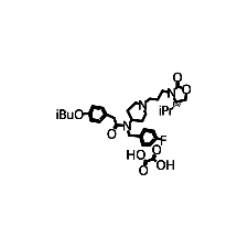 CC(C)COc1ccc(CC(=O)N(Cc2ccc(F)cc2)C2CCN(CCCN3C(=O)OC[C@@H]3C(C)C)CC2)cc1.O=C(O)C(=O)O